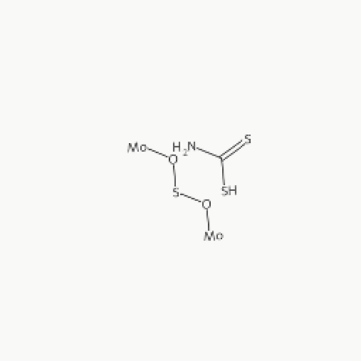 NC(=S)S.[Mo][O]S[O][Mo]